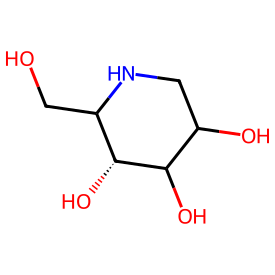 OCC1NCC(O)C(O)[C@@H]1O